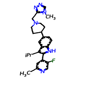 Cc1cc(-c2[nH]c3ccc(C4CCN(Cc5nncn5C)CC4)cc3c2C(C)C)c(F)cn1